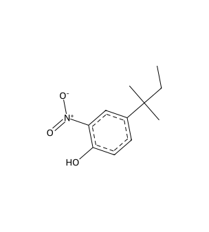 CCC(C)(C)c1ccc(O)c([N+](=O)[O-])c1